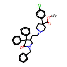 CCCOC(=O)C1(c2ccc(Cl)cc2)CCN(CCC2CN(Cc3ccccc3)C(=O)C2(c2ccccc2)c2ccccc2)CC1